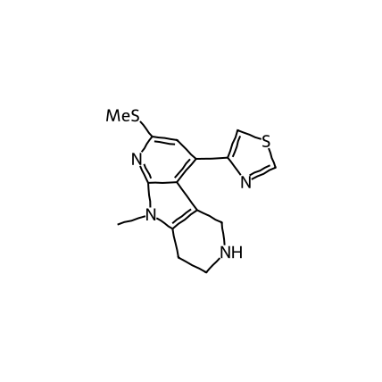 CSc1cc(-c2cscn2)c2c3c(n(C)c2n1)CCNC3